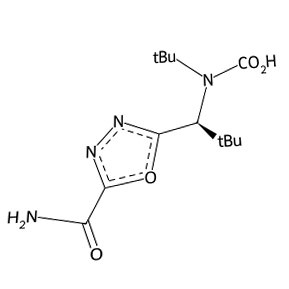 CC(C)(C)[C@@H](c1nnc(C(N)=O)o1)N(C(=O)O)C(C)(C)C